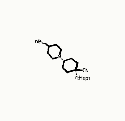 CCCCCCC[C@]1(C#N)CC[C@H](N2CCC(CCCC)CC2)CC1